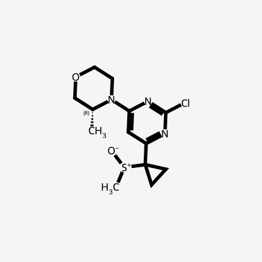 C[C@@H]1COCCN1c1cc(C2([S+](C)[O-])CC2)nc(Cl)n1